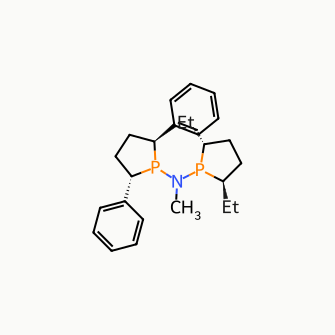 CC[C@@H]1CC[C@@H](CC)P1N(C)P1[C@H](c2ccccc2)CC[C@H]1c1ccccc1